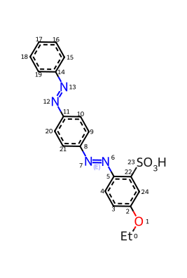 CCOc1ccc(/N=N/c2ccc(N=Nc3ccccc3)cc2)c(S(=O)(=O)O)c1